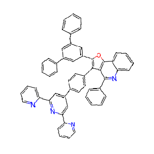 c1ccc(-c2cc(-c3ccccc3)cc(-c3oc4c(c(-c5ccccc5)nc5ccccc54)c3-c3ccc(-c4cc(-c5ccccn5)nc(-c5ccccn5)c4)cc3)c2)cc1